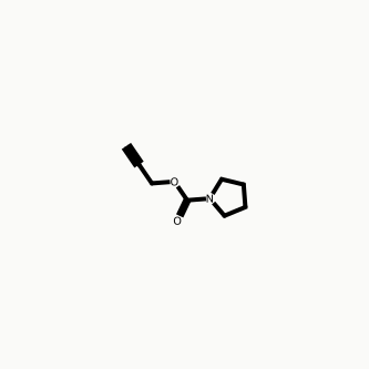 C#CCOC(=O)N1CCCC1